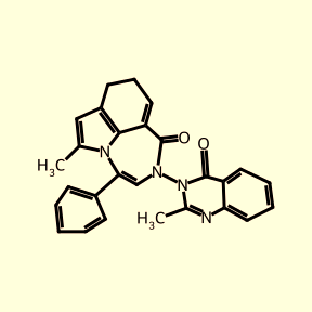 Cc1cc2c3n1C(c1ccccc1)=CN(n1c(C)nc4ccccc4c1=O)C(=O)C3=CCC2